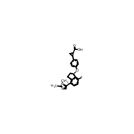 Cc1ncc(-c2ccc(F)c3c2CC[C@H]3Oc2ccc(C3CC3C(=O)O)cc2)n1C